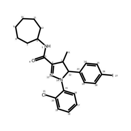 CC1C(C(=O)NC2CCCCCC2)=NN(c2ccccc2Cl)C1c1ccc(I)cc1